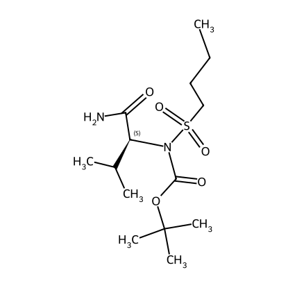 CCCCS(=O)(=O)N(C(=O)OC(C)(C)C)[C@H](C(N)=O)C(C)C